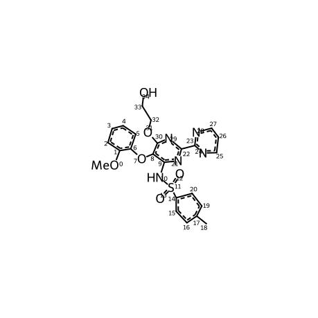 COc1ccccc1Oc1c(NS(=O)(=O)c2ccc(C)cc2)nc(-c2ncccn2)nc1OCCO